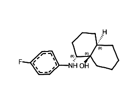 O[C@]12CCCC[C@@H]1CCC[C@H]2Nc1ccc(F)cc1